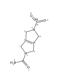 BC(=O)N1CC2=C(C1)CN([SH](=O)=O)C2